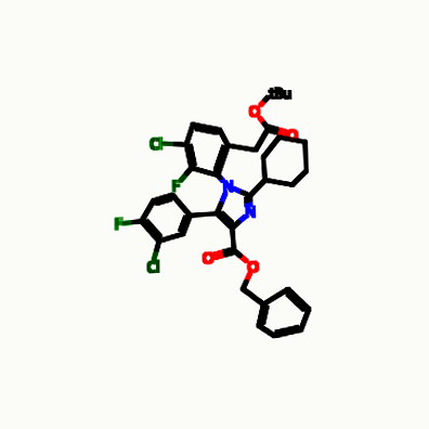 CC(C)(C)OC(=O)Cc1ccc(Cl)c(F)c1-n1c(C2CCCCC2)nc(C(=O)OCc2ccccc2)c1-c1ccc(F)c(Cl)c1